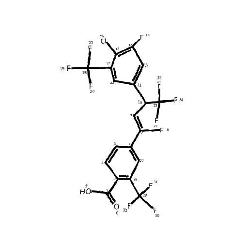 O=C(O)c1ccc(/C(F)=C/C(c2cc(F)c(Cl)c(C(F)(F)F)c2)C(F)(F)F)cc1C(F)(F)F